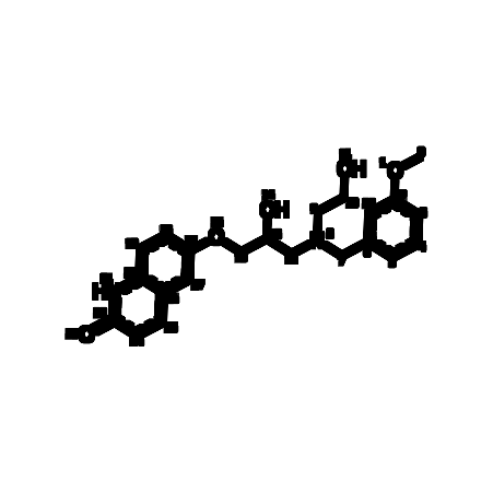 COc1cccc(CN(CCO)CC(O)COc2ccc3[nH]c(=O)ccc3c2)c1